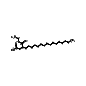 CCCCCCCCCCCCCCCCC(CC(=O)O)C(=O)OCC